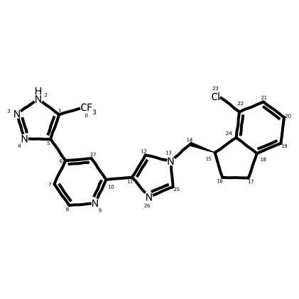 FC(F)(F)c1[nH]nnc1-c1ccnc(-c2cn(C[C@@H]3CCc4cccc(Cl)c43)cn2)c1